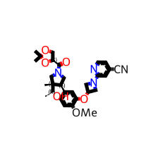 COc1ccc([C@@H]2CN(C(=O)[C@@H]3COC(C)(C)O3)C[C@@]2(C)[C@@H](C)O)cc1OC1CN(c2cc(C#N)ccn2)C1